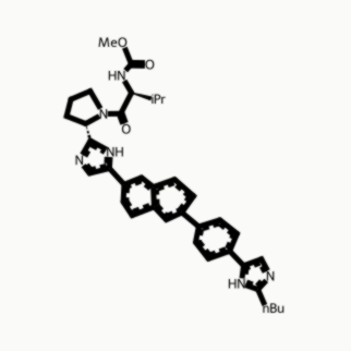 CCCCc1ncc(-c2ccc(-c3ccc4cc(-c5cnc([C@@H]6CCCN6C(=O)[C@@H](NC(=O)OC)C(C)C)[nH]5)ccc4c3)cc2)[nH]1